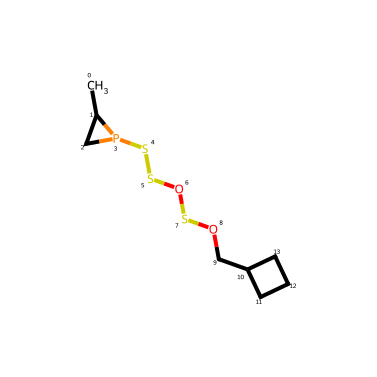 CC1CP1SSOSOCC1CCC1